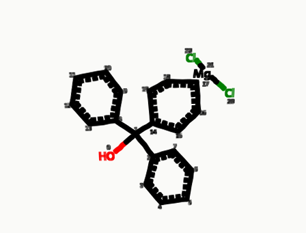 OC(c1ccccc1)(c1ccccc1)c1ccccc1.[Cl][Mg][Cl]